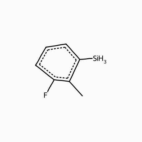 Cc1c(F)cccc1[SiH3]